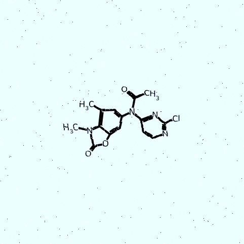 CC(=O)N(c1cc(C)c2c(c1)oc(=O)n2C)c1ccnc(Cl)n1